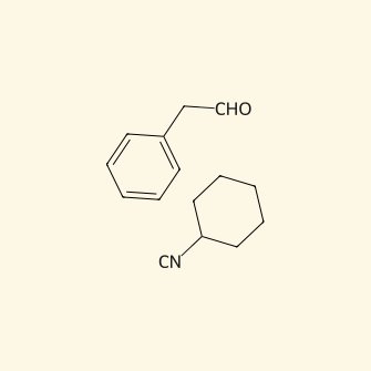 O=CCc1ccccc1.[C-]#[N+]C1CCCCC1